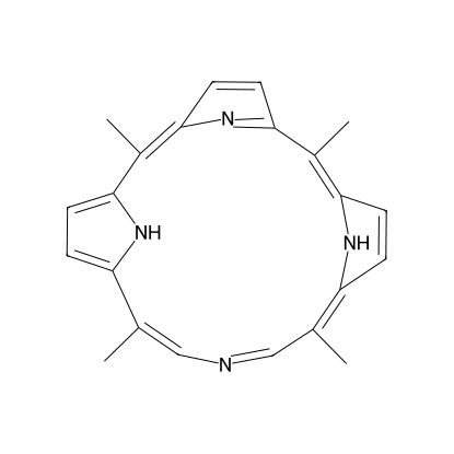 Cc1cncc(C)c2ccc([nH]2)c(C)c2nc(c(C)c3ccc1[nH]3)C=C2